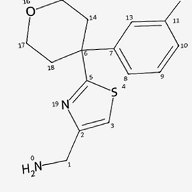 NCc1csc(C2(c3cccc(Cl)c3)CCOCC2)n1